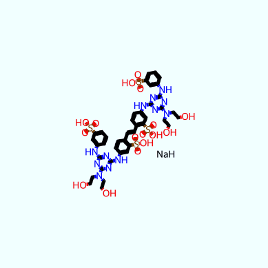 O=S(=O)(O)c1cccc(Nc2nc(Nc3ccc(C=Cc4ccc(Nc5nc(Nc6cccc(S(=O)(=O)O)c6)nc(N(CCO)CCO)n5)cc4S(=O)(=O)O)c(S(=O)(=O)O)c3)nc(N(CCO)CCO)n2)c1.[NaH]